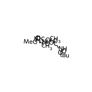 COc1ccccc1CC(C)N(C)C(=O)OC(C)OC(=O)CCCNC(=O)OC(C)(C)C